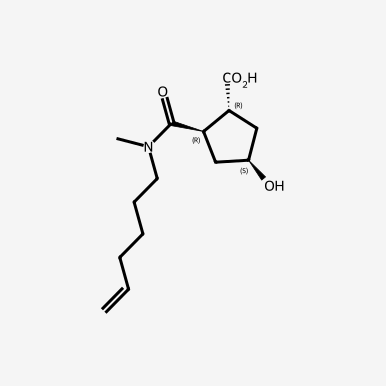 C=CCCCCN(C)C(=O)[C@@H]1C[C@H](O)C[C@H]1C(=O)O